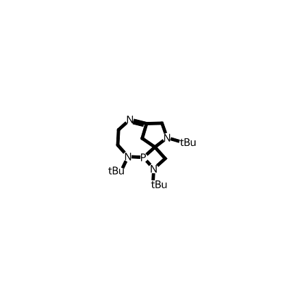 CC(C)(C)N1CC/N=C2/CN(C(C)(C)C)C3(C2)CN(C(C)(C)C)P13